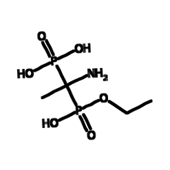 CCOP(=O)(O)C(C)(N)P(=O)(O)O